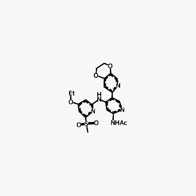 CCOc1cc(Nc2cc(NC(C)=O)ncc2-c2cc3c(cn2)OCCO3)nc(S(C)(=O)=O)c1